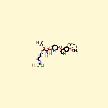 CCO/C(=C/N/C=C/C=C\N=C(/C)Cl)C(=N)C(=O)NC1=NC=C(Oc2ccnc3cc(OC)c(OC)cc23)CC=C1